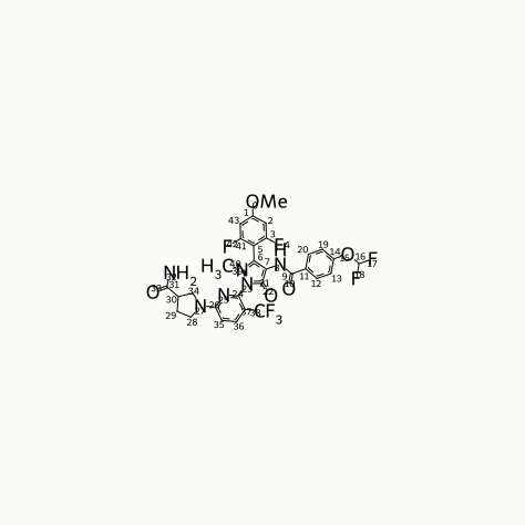 COc1cc(F)c(-c2c(NC(=O)c3ccc(OC(F)F)cc3)c(=O)n(-c3nc(N4CCC(C(N)=O)C4)ccc3C(F)(F)F)n2C)c(F)c1